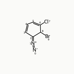 [N-]=[N+]=C1C=CC=C(Cl)C1Br